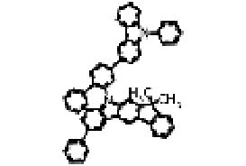 CC1(C)c2ccccc2-c2cc3c4cc(-c5ccccc5)ccc4n(-c4cc(-c5ccc6c(c5)c5ccccc5n6-c5ccccc5)ccc4-c4ccccc4)c3cc21